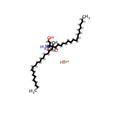 Br.CCCCCCCC/C=C\CCCCCCCC(=O)CC(C)(C(=O)CCCCCCC/C=C\CCCCCCCC)C(C)(N)CCO